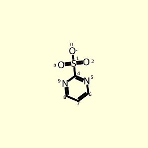 [O]S(=O)(=O)c1ncccn1